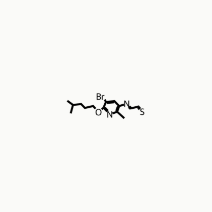 Cc1nc(OCCCC(C)C)c(Br)cc1N=CC=S